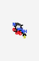 CC(C)C(C)CC[C@H](NC(=O)c1ccsc1)C(=O)NC1C(=O)COC1CCN(C)C